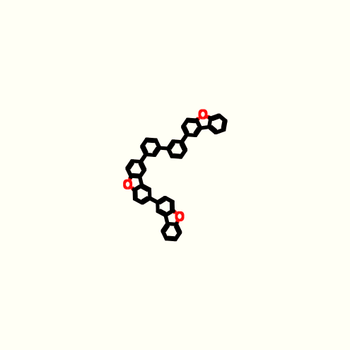 c1cc(-c2cccc(-c3ccc4oc5ccc(-c6ccc7oc8ccccc8c7c6)cc5c4c3)c2)cc(-c2ccc3oc4ccccc4c3c2)c1